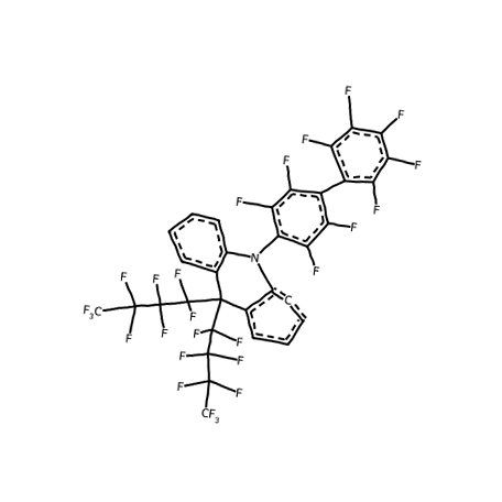 Fc1c(F)c(F)c(-c2c(F)c(F)c(N3c4ccccc4C(C(F)(F)C(F)(F)C(F)(F)C(F)(F)F)(C(F)(F)C(F)(F)C(F)(F)C(F)(F)F)c4ccccc43)c(F)c2F)c(F)c1F